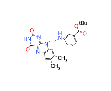 Cc1cc2nc3c(=O)[nH]c(=O)nc-3n(CCNc3cccc(C(=O)OC(C)(C)C)c3)c2cc1C